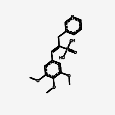 COc1cc(/C=C(/Cc2cccnc2)P(=O)(O)O)cc(OC)c1OC